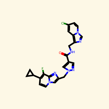 O=C(NCc1ncn2ccc(Cl)cc12)c1cnn(Cc2cn3ccc(C4CC4)c(F)c3n2)c1